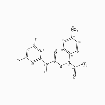 Cc1cc(C)nc(N(C)C(=O)CN(C(=O)C(F)(F)F)c2ccc([N+](=O)[O-])cc2)c1